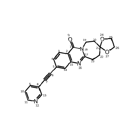 O=c1c2ccc(C#Cc3cccnc3)cc2nc2n1CCC1(CC2)OCCO1